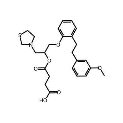 COc1cccc(CCc2ccccc2OCC(CN2CCSC2)OC(=O)CCC(=O)O)c1